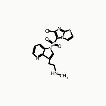 CNCCc1cn(S(=O)(=O)c2c(Cl)nc3sccn23)c2cccnc12